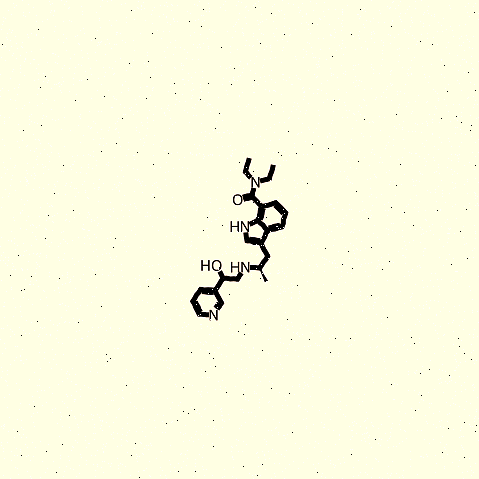 CCN(CC)C(=O)c1cccc2c(C[C@@H](C)NCC(O)c3cccnc3)c[nH]c12